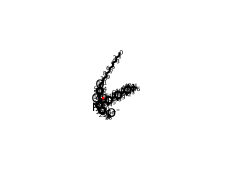 CCCCCCCCCCCCOc1ccc(S(=O)(=O)c2cnc3ccc([S+](C)[O-])cc3c2N2CCC(N3CCC(N4CCN(CC)CC4)CC3)CC2)cc1